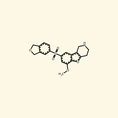 COc1cc(S(=O)(=O)c2ccc3c(c2)COC3)cc2c3c(oc12)CCNC3